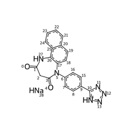 O=C1CC(=O)N(c2ccc(-c3nnn[nH]3)cc2)c2ccc3ccccc3c2N1.[NaH]